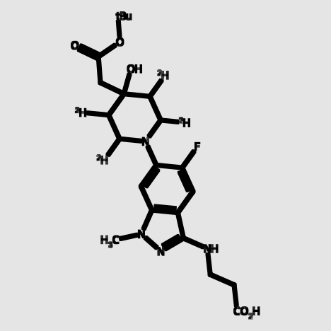 [2H]C1C([2H])C(O)(CC(=O)OC(C)(C)C)C([2H])C([2H])N1c1cc2c(cc1F)c(NCCC(=O)O)nn2C